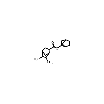 CC1C2CC(C(=O)OC3CC4CCC3C4)C(C2)C1C